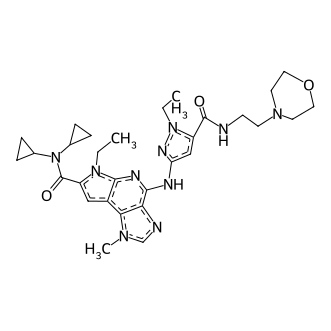 CCn1nc(Nc2nc3c(cc(C(=O)N(C4CC4)C4CC4)n3CC)c3c2ncn3C)cc1C(=O)NCCN1CCOCC1